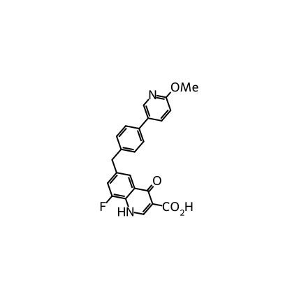 COc1ccc(-c2ccc(Cc3cc(F)c4[nH]cc(C(=O)O)c(=O)c4c3)cc2)cn1